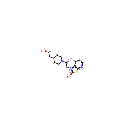 O=C(Cn1c(=O)sc2ncccc21)N1CCC(CCO)CC1